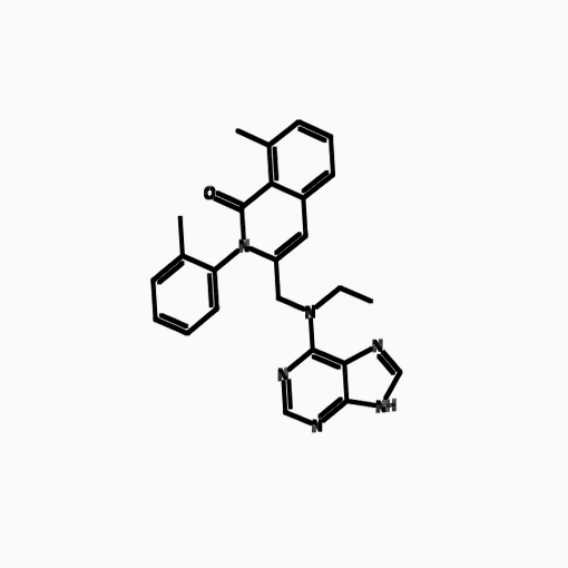 CCN(Cc1cc2cccc(C)c2c(=O)n1-c1ccccc1C)c1ncnc2[nH]cnc12